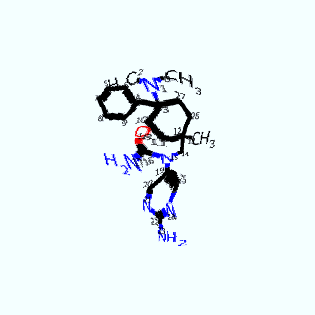 CN(C)[C@]1(c2ccccc2)CC[C@@](C)(CN(C(N)=O)c2cnc(N)nc2)CC1